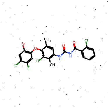 Cc1cc(NC(=O)NC(=O)c2ccccc2Cl)c(C)c(Cl)c1Oc1cc(Cl)c(Cl)cc1Br